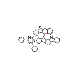 c1ccc(-c2nc(-c3ccccc3)nc(-c3ccc4sc5cccc(-n6c7ccccc7c7ccc8c9ccccc9n(-c9ccccc9)c8c76)c5c4c3)n2)cc1